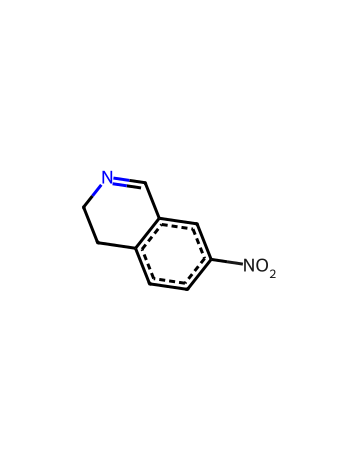 O=[N+]([O-])c1ccc2c(c1)C=NCC2